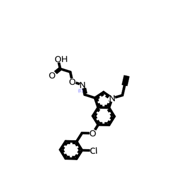 C#CCn1cc(/C=N/OCC(=O)O)c2cc(OCc3ccccc3Cl)ccc21